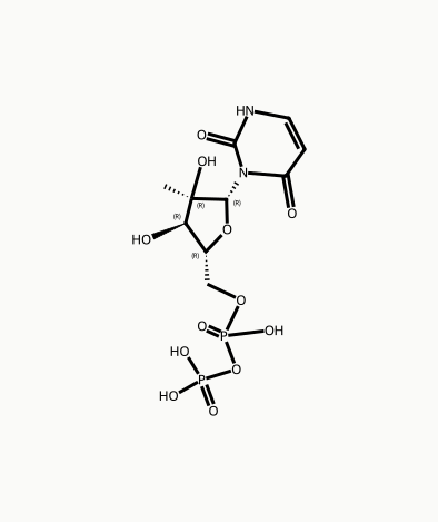 C[C@@]1(O)[C@H](O)[C@@H](COP(=O)(O)OP(=O)(O)O)O[C@H]1n1c(=O)cc[nH]c1=O